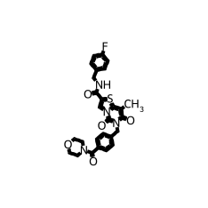 Cc1c(=O)n(Cc2ccc(C(=O)N3CCOCC3)cc2)c(=O)n2cc(C(=O)NCc3ccc(F)cc3)sc12